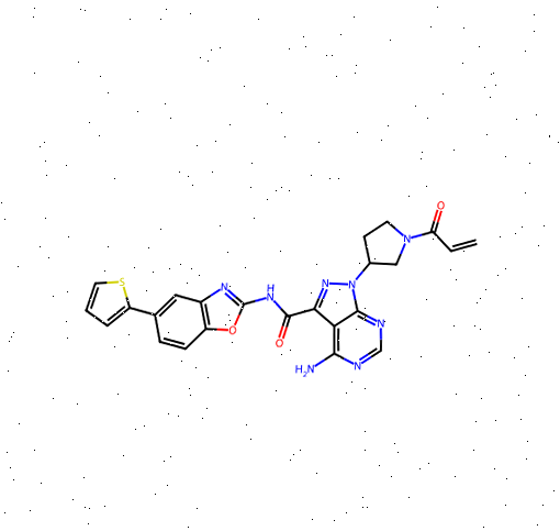 C=CC(=O)N1CCC(n2nc(C(=O)Nc3nc4cc(-c5cccs5)ccc4o3)c3c(N)ncnc32)C1